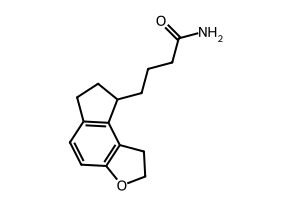 NC(=O)CCCC1CCc2ccc3c(c21)CCO3